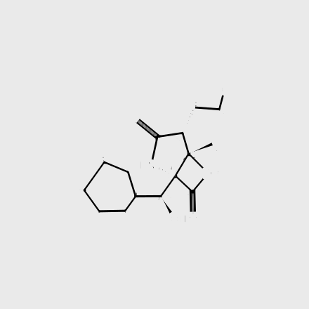 C=C1N[C@@]2([C@@H](O)C3CCCCC3)C(=O)O[C@@]2(C)[C@H]1CCCl